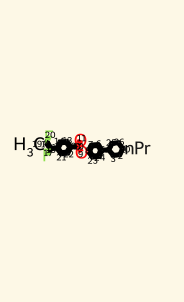 CCCC1CCC(c2ccc(OC(=O)c3ccc(/C(F)=C(/C)F)cc3)cc2)CC1